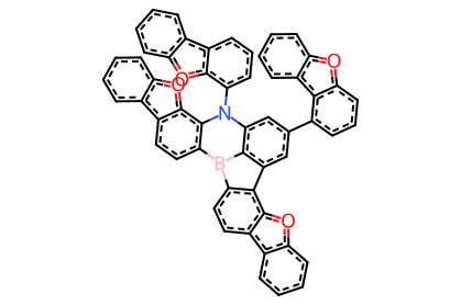 c1ccc2c(c1)oc1c(N3c4cc(-c5cccc6oc7ccccc7c56)cc5c4B(c4ccc6c(oc7ccccc76)c4-5)c4ccc5c(oc6ccccc65)c43)cccc12